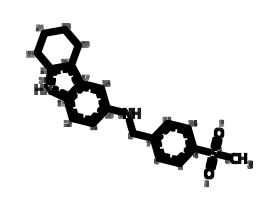 CS(=O)(=O)c1ccc(CNc2ccc3[nH]c4c(c3c2)CCCC4)cc1